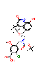 COc1cc(C(=O)O)c(Cl)cc1CN(C[C@H](O[Si](C)(C)C(C)(C)C)c1ccc(O)c2[nH]c(=O)ccc12)C(=O)OC(C)(C)C